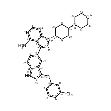 Nc1ncnc2c1c(-c1ccc3[nH]nc(Nc4cccc(Cl)c4)c3c1)nn2[C@H]1CC[C@H](N2CCOCC2)CC1